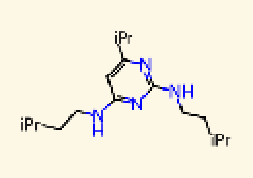 CC(C)CCNc1cc(C(C)C)nc(NCCC(C)C)n1